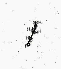 N[C@H](Cc1ccc(C(=O)O)cc1)[C@H](O)C(=O)NCCCCNC(=O)CCCc1cc(F)ccc1F